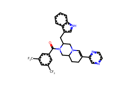 O=C(c1cc(C(F)(F)F)cc(C(F)(F)F)c1)N1CC2CCC(c3cnccn3)=CN2CC1Cc1c[nH]c2ccccc12